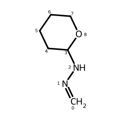 C=NNC1CCCCO1